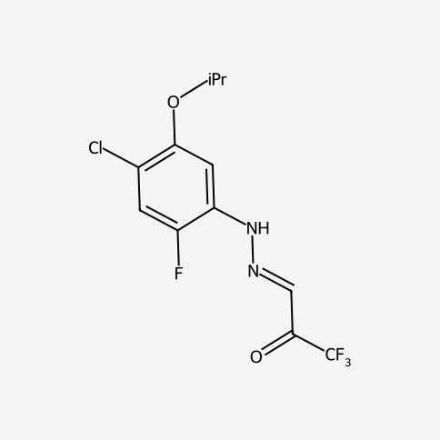 CC(C)Oc1cc(N/N=C/C(=O)C(F)(F)F)c(F)cc1Cl